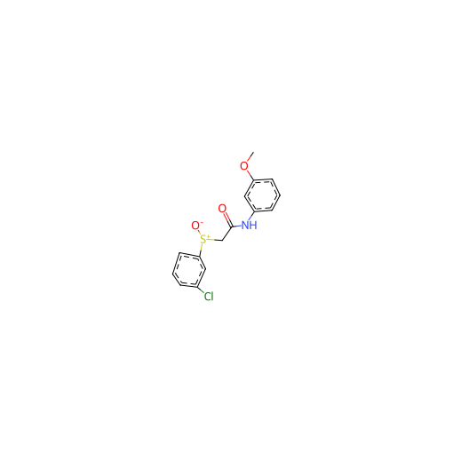 COc1cccc(NC(=O)C[S+]([O-])c2cccc(Cl)c2)c1